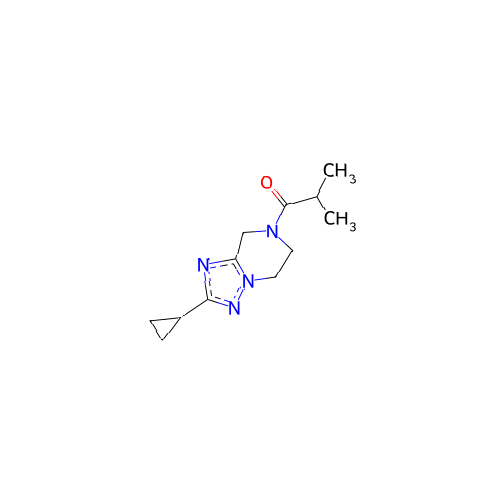 CC(C)C(=O)N1CCn2nc(C3CC3)nc2C1